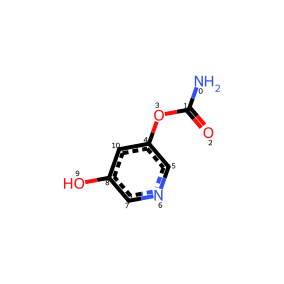 NC(=O)Oc1cncc(O)c1